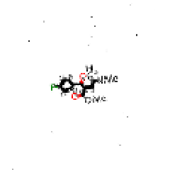 CNC(C)/C=C(/C(=O)OC)C(=O)c1ccc(F)cc1